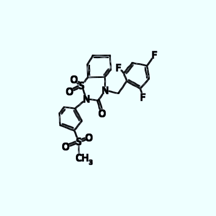 CS(=O)(=O)c1cccc(N2C(=O)N(Cc3c(F)cc(F)cc3F)c3ccccc3S2(=O)=O)c1